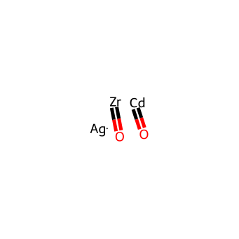 [Ag].[O]=[Cd].[O]=[Zr]